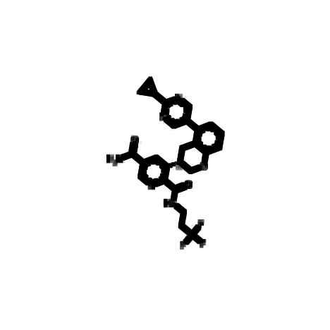 NC(=O)c1cnc(C(=O)NCCC(F)(F)F)c([C@H]2COc3cccc(-c4cnc(C5CC5)nc4)c3C2)c1